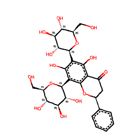 O=C1CC(c2ccccc2)Oc2c1c(O)c([C@@H]1O[C@H](CO)[C@@H](O)[C@H](O)[C@H]1O)c(O)c2[C@@H]1O[C@H](CO)[C@@H](O)[C@H](O)[C@H]1O